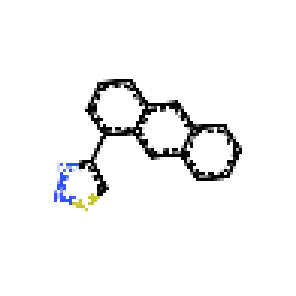 c1ccc2cc3c(-c4csnn4)cccc3cc2c1